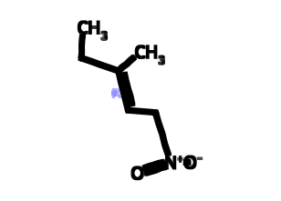 CC/C(C)=C/C[N+](=O)[O-]